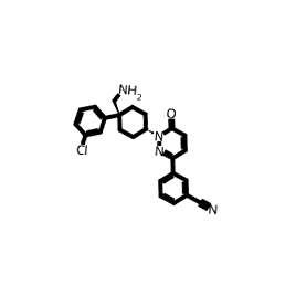 N#Cc1cccc(-c2ccc(=O)n([C@H]3CC[C@@](CN)(c4cccc(Cl)c4)CC3)n2)c1